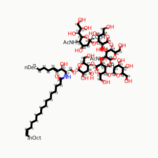 CCCCCCCC/C=C\CCCCCCCCCCCCCC(=O)N[C@@H](CO[C@@H]1OC(CO)[C@@H](O[C@@H]2OC(CO)[C@H](O[C@@H]3OC(CO)[C@H](O)[C@H](O)C3NC(C)=O)[C@H](O[C@@H]3OC(CO)[C@@H](O[C@@H]4OC(CO)[C@H](O)[C@H](O[C@]5(C(=O)O)CC(O)[C@@H](NC(C)=O)C([C@H](O)[C@H](O)CO)O5)C4O)[C@H](O)C3NC(C)=O)C2O)[C@H](O)C1O)[C@H](O)/C=C/CCCCCCCCCCCCC